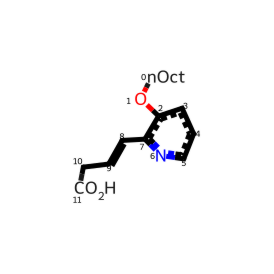 CCCCCCCCOc1cccnc1/C=C/CC(=O)O